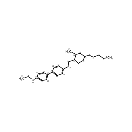 CCCCCC1CCC(CCc2ccc(-c3ccc(OCC)cc3)cc2)C(C)C1